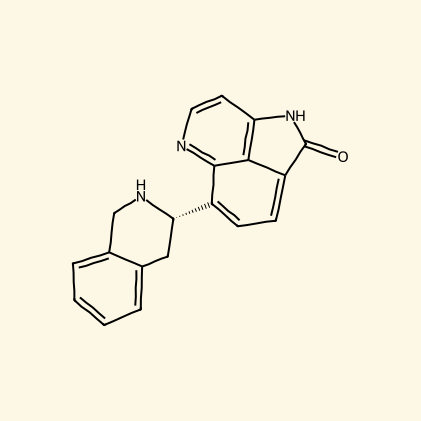 O=C1Nc2ccnc3c([C@@H]4Cc5ccccc5CN4)ccc1c23